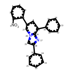 O=[N+]([O-])c1ccccc1-c1cc(-c2ccccc2)c2nc(-c3ccccc3)cn2c1